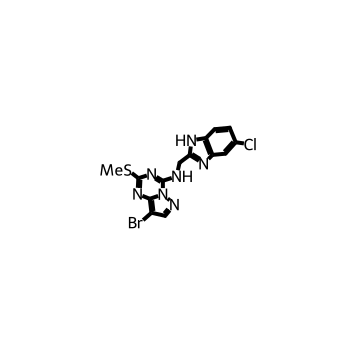 CSc1nc(NCc2nc3cc(Cl)ccc3[nH]2)n2ncc(Br)c2n1